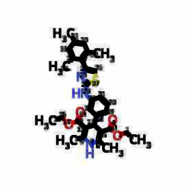 CCOC(=O)C1=C(C)NC(C)=C(C(=O)OCC)C1c1cccc(Nc2nc(-c3c(C)cc(C)cc3C)cs2)c1